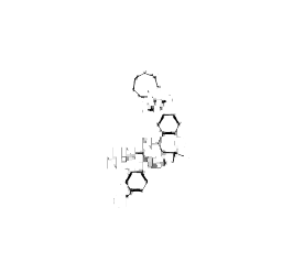 CC1(C)Oc2ccc(S(=O)(=O)N3CCCCCC3)cc2[C@@H](N=C(NC#N)Nc2ccc(Cl)cc2)[C@@H]1O